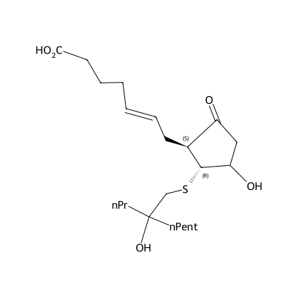 CCCCCC(O)(CCC)CS[C@H]1C(O)CC(=O)[C@@H]1CC=CCCCC(=O)O